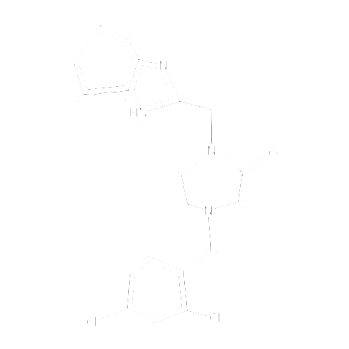 O=C1CN(Cc2ccc(Cl)cc2Cl)CCN1Cc1nc2ccccc2[nH]1